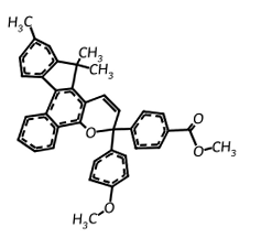 COC(=O)c1ccc(C2(c3ccc(OC)cc3)C=Cc3c4c(c5ccccc5c3O2)-c2ccc(C)cc2C4(C)C)cc1